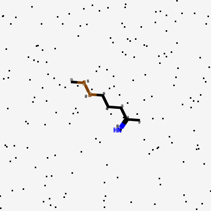 CSSCCCC(C)=N